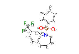 Cc1ccc(S(=O)(=O)N2CCCCc3ccc(C(F)(F)F)cc32)cc1